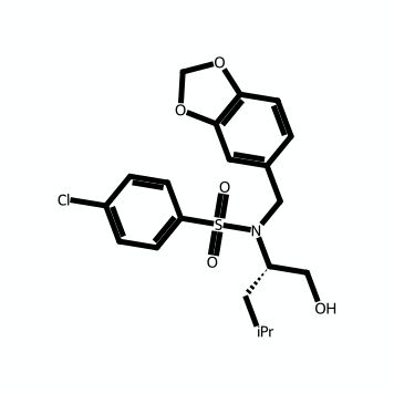 CC(C)C[C@@H](CO)N(Cc1ccc2c(c1)OCO2)S(=O)(=O)c1ccc(Cl)cc1